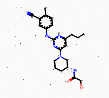 CCCc1cc(N2CCC[C@@H](NC(=O)CO)C2)nc(Nc2ccc(C)c(C#N)c2)n1